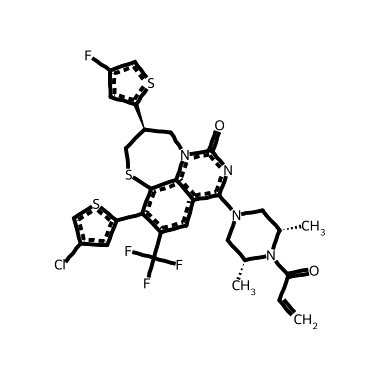 C=CC(=O)N1[C@H](C)CN(c2nc(=O)n3c4c(c(-c5cc(Cl)cs5)c(C(F)(F)F)cc24)SC[C@@H](c2cc(F)cs2)C3)C[C@@H]1C